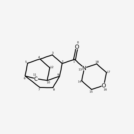 O=C(C1CC2CC3CCC1C(C3)C2)N1CCOCC1